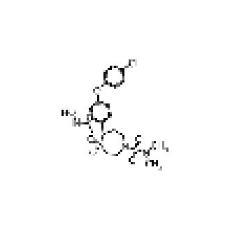 CN(C)S(=O)(=O)N1CC[C@](CC(=O)NO)(c2ccc(Oc3ccc(Cl)cc3)cc2)S(=O)(=O)CC1